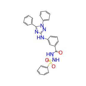 O=C(NNS(=O)(=O)c1ccccc1)c1cccc(Nc2nc(-c3ccccc3)n(-c3ccccc3)n2)c1